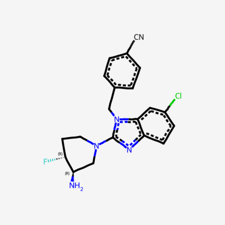 N#Cc1ccc(Cn2c(N3CC[C@@H](F)[C@H](N)C3)nc3ccc(Cl)cc32)cc1